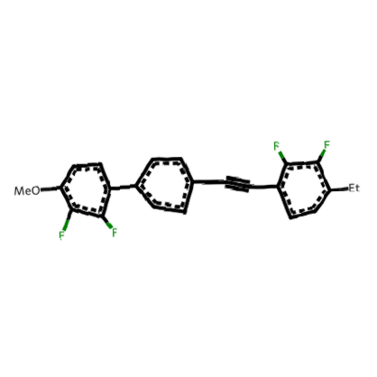 CCc1ccc(C#Cc2ccc(-c3ccc(OC)c(F)c3F)cc2)c(F)c1F